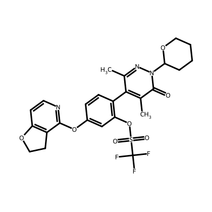 Cc1nn(C2CCCCO2)c(=O)c(C)c1-c1ccc(Oc2nccc3c2CCO3)cc1OS(=O)(=O)C(F)(F)F